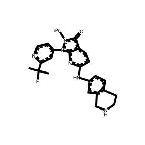 CC(C)n1c(=O)c2ccc(Nc3ccc4c(c3)CNCC4)nc2n1-c1ccnc(C(C)(C)F)c1